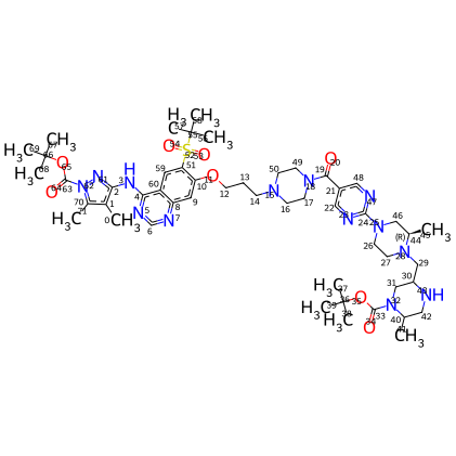 Cc1c(Nc2ncnc3cc(OCCCN4CCN(C(=O)c5cnc(N6CCN(CC7CN(C(=O)OC(C)(C)C)C(C)CN7)[C@H](C)C6)nc5)CC4)c(S(=O)(=O)C(C)(C)C)cc23)nn(C(=O)OC(C)(C)C)c1C